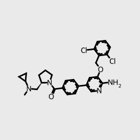 CN(C[C@H]1CCCN1C(=O)c1ccc(-c2cnc(N)c(OCc3c(Cl)cccc3Cl)c2)cc1)C1CC1